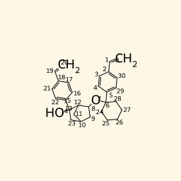 C=Cc1ccc(C2(OC3CC4CC3C(O)(c3ccc(C=C)cc3)C4)CCCCC2)cc1